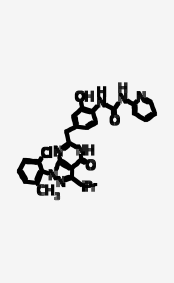 Cc1cccc(Cl)c1-n1nc(C(C)C)c2c(=O)[nH]c(Cc3ccc(NC(=O)Nc4ccccn4)c(O)c3)nc21